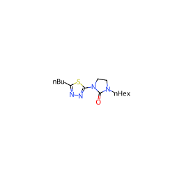 CCCCCCN1CCN(c2nnc(CCCC)s2)C1=O